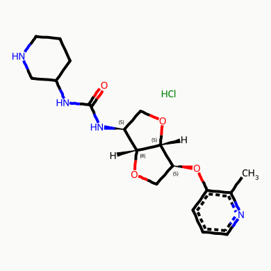 Cc1ncccc1O[C@H]1CO[C@H]2[C@@H]1OC[C@@H]2NC(=O)NC1CCCNC1.Cl